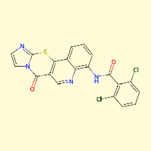 O=C(Nc1cccc2c1ncc1c(=O)n3ccnc3sc12)c1c(Cl)cccc1Cl